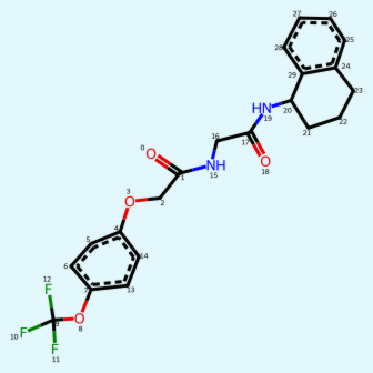 O=C(COc1ccc(OC(F)(F)F)cc1)NCC(=O)NC1CCCc2ccccc21